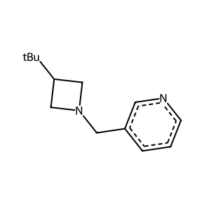 CC(C)(C)C1CN(Cc2cccnc2)C1